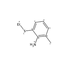 CCSc1cccc(C)c1N